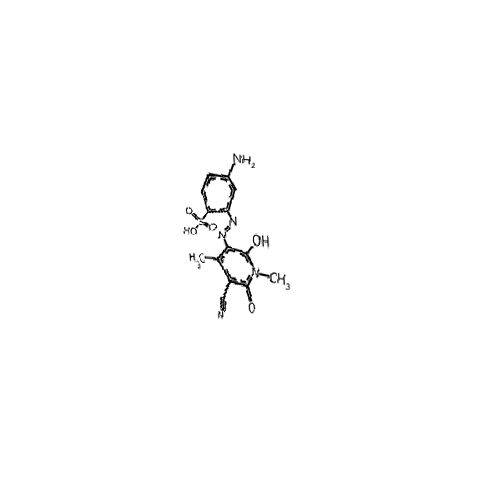 Cc1c(N=Nc2cc(N)ccc2S(=O)(=O)O)c(O)n(C)c(=O)c1C#N